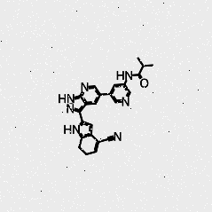 CC(C)C(=O)Nc1cncc(-c2cnc3[nH]nc(-c4cc5c([nH]4)CCC=C5C#N)c3c2)c1